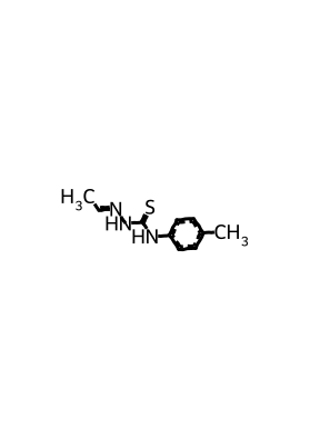 CC=NNC(=S)Nc1ccc(C)cc1